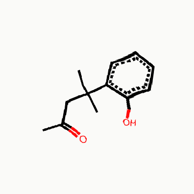 CC(=O)CC(C)(C)c1ccccc1O